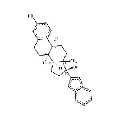 C[C@]12CC[C@@H]3c4ccc(O)cc4CC[C@@H]3[C@@H]1CC[C@@]2(O)c1cc2ccccc2o1